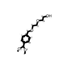 COC(OC)c1ccc(COCCOCCO)cc1